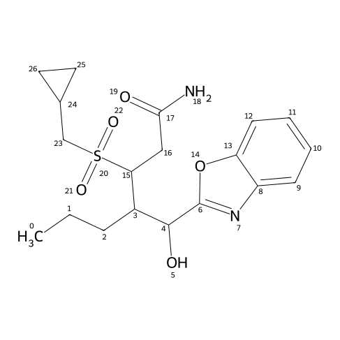 CCCC(C(O)c1nc2ccccc2o1)C(CC(N)=O)S(=O)(=O)CC1CC1